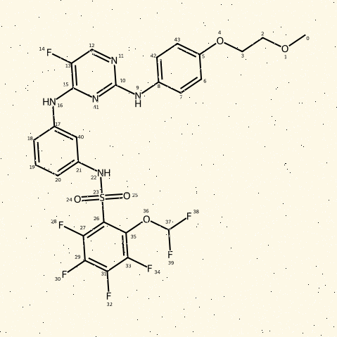 COCCOc1ccc(Nc2ncc(F)c(Nc3cccc(NS(=O)(=O)c4c(F)c(F)c(F)c(F)c4OC(F)F)c3)n2)cc1